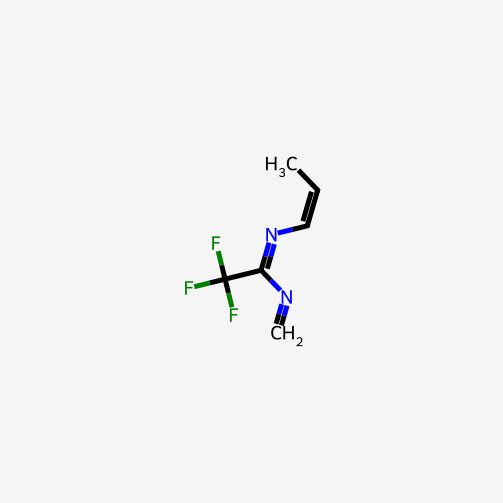 C=N/C(=N\C=C/C)C(F)(F)F